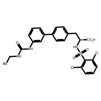 CCC(C)CNC(=O)Nc1cccc(-c2ccc(C[C@H](NS(=O)(=O)c3c(Cl)cccc3Cl)C(=O)O)cc2)c1